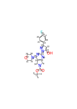 CC(C)(C)OC(=O)N1Cc2nc(-n3nc(-c4ccc(F)cc4)cc3O)nc(N3CCOCC3)c2C1